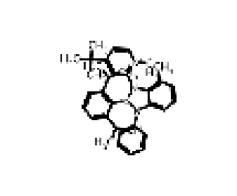 Cc1cccc2c1N(c1cc(C(C)(C)C)cc[n+]1C)B(c1c(C(C)C)cccc1C(C)C)N2c1ccccc1